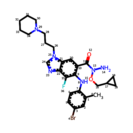 Cc1cc(Br)ccc1Nc1c(C(=O)N(N)OCC2CC2)cc2c(ncn2CCCN2CCCCC2)c1F